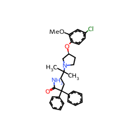 COc1cc(Cl)ccc1O[C@H]1CCN(C(C)(C)CCC(C(N)=O)(c2ccccc2)c2ccccc2)C1